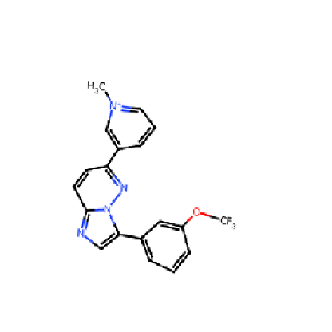 C[n+]1cccc(-c2ccc3ncc(-c4cccc(OC(F)(F)F)c4)n3n2)c1